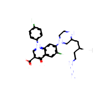 CC(CCN=[N+]=[N-])CC1CN(c2cc3c(cc2F)c(=O)c(C(=O)O)cn3-c2ccc(F)cc2)CCN1